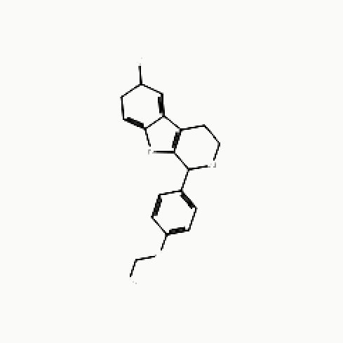 N#CCOc1ccc(C2NCCc3c2[nH]c2c3=CC(Cl)CC=2)cc1